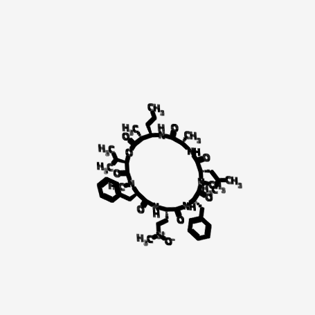 CCC[C@H]1NC(=O)[C@H](C)NC(=O)[C@H](CC(C)C)N(C)C(=O)[C@H](Cc2ccccc2)NC(=O)[C@H](CC[S+](C)[O-])NC(=O)[C@@H](Cc2ccccc2)N(C)C(=O)[C@@H](C(C)C)OC(=O)[C@@H]1C